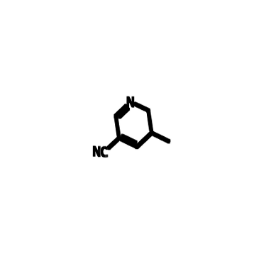 CC1C=C(C#N)C=NC1